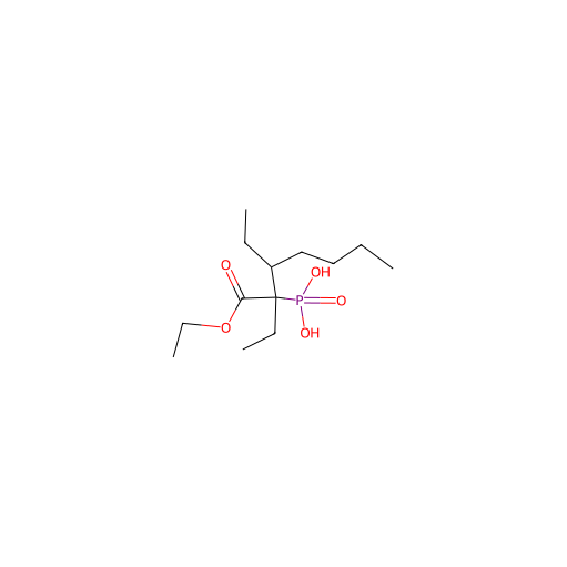 CCCCC(CC)C(CC)(C(=O)OCC)P(=O)(O)O